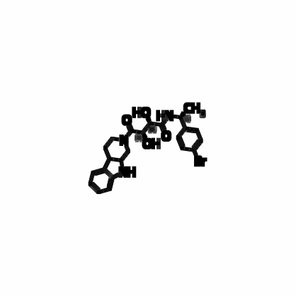 C[C@H](NC(=O)[C@H](O)[C@@H](O)C(=O)N1CCC2c3ccccc3NC2C1)c1ccc(Br)cc1